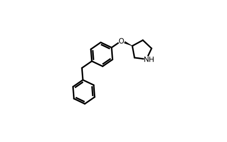 c1ccc(Cc2ccc(O[C@H]3CCNC3)cc2)cc1